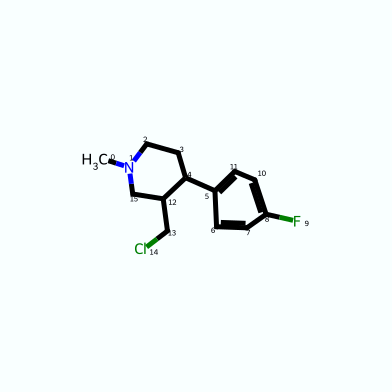 CN1CCC(c2ccc(F)cc2)C(CCl)C1